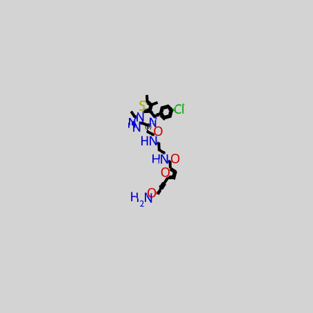 Cc1sc2c(c1C)C(c1ccc(Cl)cc1)=N[C@@H](CC(=O)NCCCNC(=O)c1ccc(C#CCON)o1)c1nnc(C)n1-2